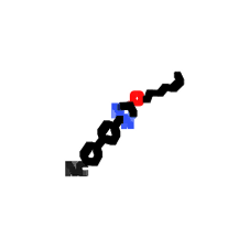 C/C=C\CCCCOc1cnc(-c2ccc(-c3ccc(C#N)cc3)cc2)nc1